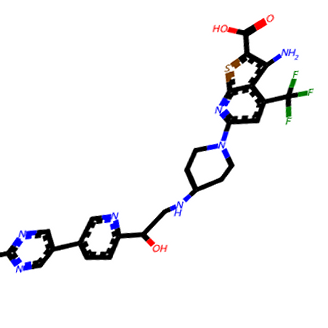 COc1ncc(-c2ccc(C(O)CNC3CCN(c4cc(C(F)(F)F)c5c(N)c(C(=O)O)sc5n4)CC3)nc2)cn1